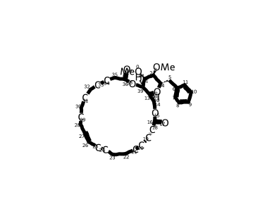 CO[C@@H]1[C@@H](OC)[C@H](Cc2ccccc2)O[C@@H]2COC(=O)CCCCCCCCC=CCCCCCCCCC(=O)O[C@@H]12